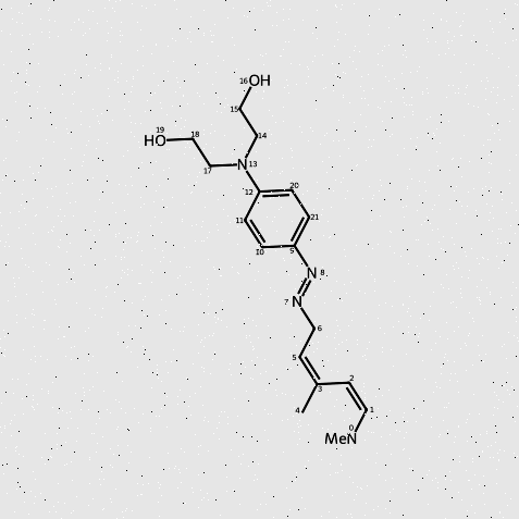 CN/C=C\C(C)=C/C/N=N/c1ccc(N(CCO)CCO)cc1